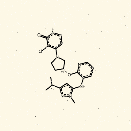 CC(C)c1cc(Nc2cccnc2O[C@@H]2CCN(c3cn[nH]c(=O)c3Cl)C2)n(C)n1